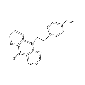 C=Cc1ccc(CCn2c3ccccc3c(=O)c3ccccc32)cc1